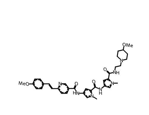 COc1ccc(/C=C/c2ccc(C(=O)Nc3cc(C(=O)Nc4cc(C(=O)NCCN5CCC(OC)CC5)n(C)c4)n(C)c3)cn2)cc1